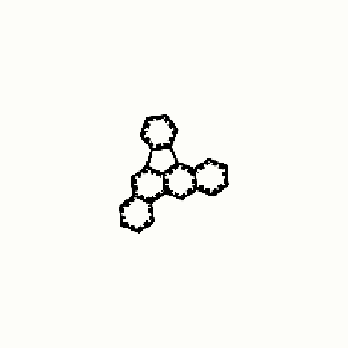 [c]1c2ccccc2c2c3c(cc4ccccc4c13)-c1ccccc1-2